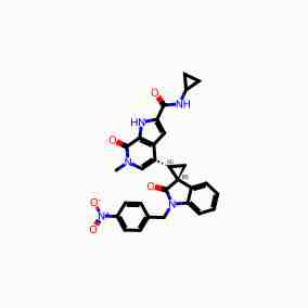 Cn1cc([C@@H]2C[C@@]23C(=O)N(Cc2ccc([N+](=O)[O-])cc2)c2ccccc23)c2cc(C(=O)NC3CC3)[nH]c2c1=O